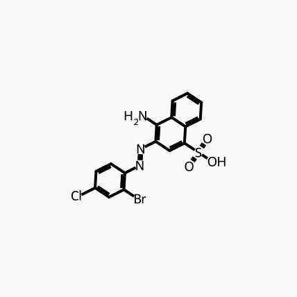 Nc1c(N=Nc2ccc(Cl)cc2Br)cc(S(=O)(=O)O)c2ccccc12